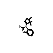 CC1CC=C(n2c(F)nc3ccccc32)C1(C)C